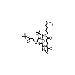 COC(=O)[C@H](CCC(=O)NCCCCN)NC(=O)N[C@@H](CCC(=O)OC(C)(C)C)C(=O)OC(C)(C)C